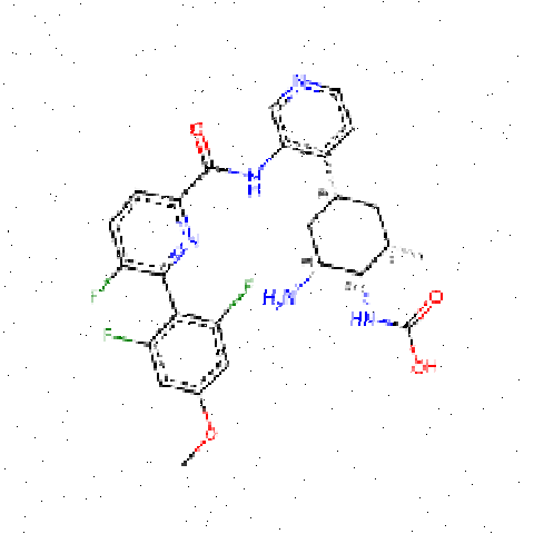 COc1cc(F)c(-c2nc(C(=O)Nc3cnccc3[C@H]3C[C@@H](N)[C@@H](NC(=O)O)[C@@H](C)C3)ccc2F)c(F)c1